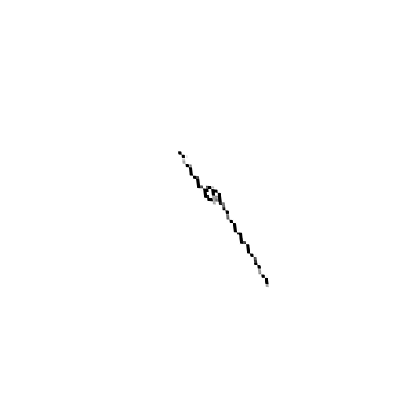 CCCCCCCCCCCCCCCC[n+]1ccc(CCCCCCC)cc1